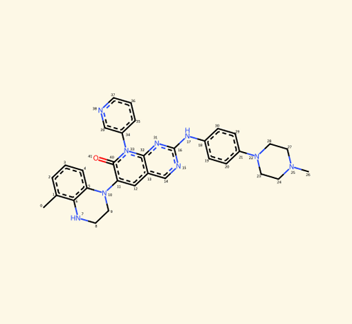 Cc1cccc2c1NCCN2c1cc2cnc(Nc3ccc(N4CCN(C)CC4)cc3)nc2n(-c2cccnc2)c1=O